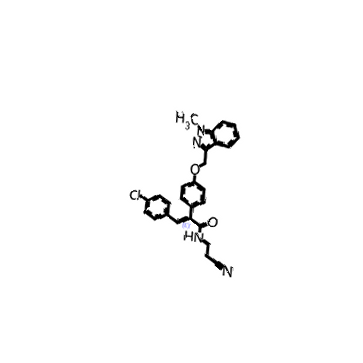 Cn1nc(COc2ccc(/C(=C\c3ccc(Cl)cc3)C(=O)NCCC#N)cc2)c2ccccc21